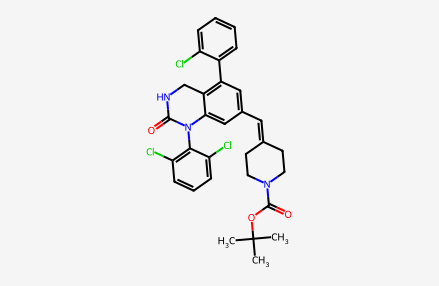 CC(C)(C)OC(=O)N1CCC(=Cc2cc(-c3ccccc3Cl)c3c(c2)N(c2c(Cl)cccc2Cl)C(=O)NC3)CC1